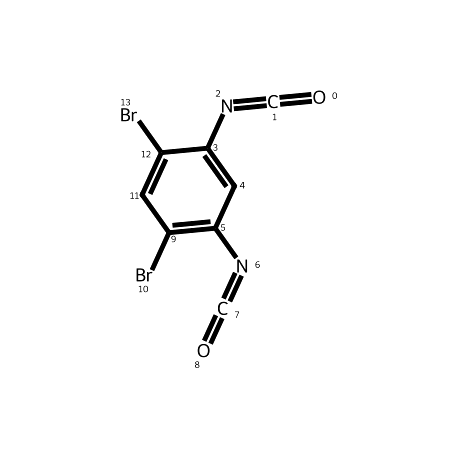 O=C=Nc1cc(N=C=O)c(Br)cc1Br